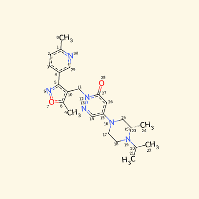 Cc1ccc(-c2noc(C)c2Cn2ncc(N3CCN(C(C)C)[C@@H](C)C3)cc2=O)cn1